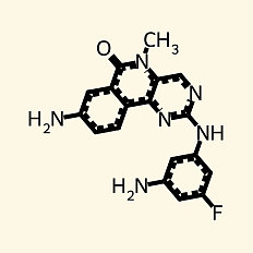 Cn1c(=O)c2cc(N)ccc2c2nc(Nc3cc(N)cc(F)c3)ncc21